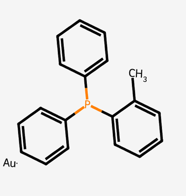 Cc1ccccc1P(c1ccccc1)c1ccccc1.[Au]